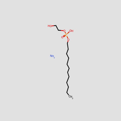 CCCCCCCCCCCCOP(=O)(O)OCCO.N